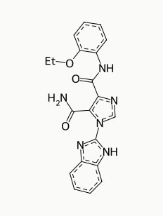 CCOc1ccccc1NC(=O)c1ncn(-c2nc3ccccc3[nH]2)c1C(N)=O